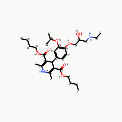 CCCCOC(=O)C1=C(C)NC(C)=C(C(=O)OCCCC)C1c1ccc(OCC(O)CNCC)c(OC(C)C)c1